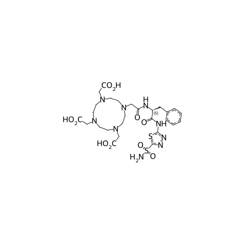 NS(=O)(=O)c1nnc(NC(=O)[C@H](Cc2ccccc2)NC(=O)CN2CCN(CC(=O)O)CCN(CC(=O)O)CCN(CC(=O)O)CC2)s1